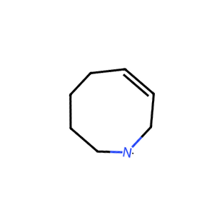 C1=CC[N]CCCC1